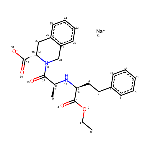 CCOC(=O)[C@H](CCc1ccccc1)N[C@@H](C)C(=O)N1Cc2ccccc2C[C@H]1C(=O)[O-].[Na+]